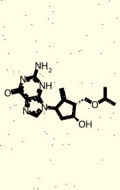 C=C1C(n2cnc3c(=O)nc(N)[nH]c32)C[C@H](O)[C@H]1COC(C)C